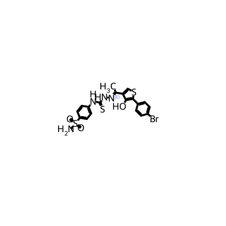 C/C(=N\NC(=S)Nc1ccc(S(N)(=O)=O)cc1)c1csc(-c2ccc(Br)cc2)c1O